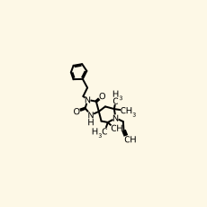 C#CCN1C(C)(C)CC2(CC1(C)C)NC(=O)N(CCc1ccccc1)C2=O